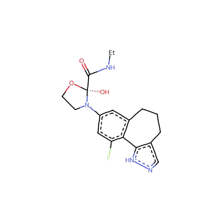 CCNC(=O)[C@]1(O)OCCN1c1cc(F)c2c(c1)CCCc1cn[nH]c1-2